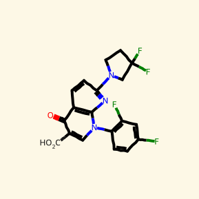 O=C(O)c1cn(-c2ccc(F)cc2F)c2nc(N3CCC(F)(F)C3)ccc2c1=O